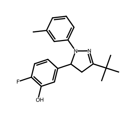 Cc1cccc(N2N=C(C(C)(C)C)CC2c2ccc(F)c(O)c2)c1